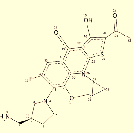 COc1c(N2CC[C@@H](CN)C2)c(F)cc2c(=O)c3c(O)c(C(C)=O)sc3n(C3CC3)c12